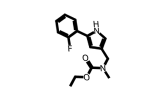 CCOC(=O)N(C)Cc1c[nH]c(-c2ccccc2F)c1